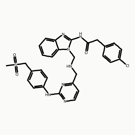 CS(=O)(=O)Cc1ccc(Nc2nccc(CNCn3c(NC(=O)Cc4ccc(Cl)cc4)nc4ccccc43)n2)cc1